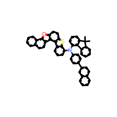 CC1(C)c2ccccc2-c2c(N(c3ccc(-c4ccc5ccccc5c4)cc3)c3cccc4c3sc3ccc5oc6c7ccccc7ccc6c5c34)cccc21